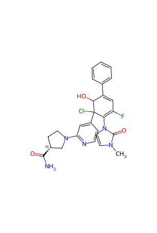 Cn1ccn(C2=C(F)C=C(c3ccccc3)C(O)C2(Cl)c2ccnc(N3CC[C@H](C(N)=O)C3)c2)c1=O